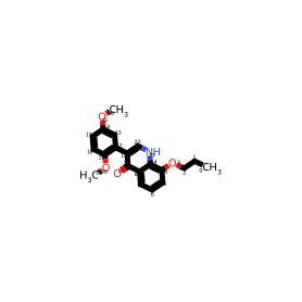 CCCOc1cccc2c(=O)c(-c3cc(OC)ccc3OC)c[nH]c12